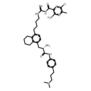 Cc1nc(N)c(C(=O)NC(=N)NCCCCc2ccc(C[C@H](N)C(=O)Nc3ccc(CCCN(C)C)cc3)c3c2CCCC3)nc1Cl